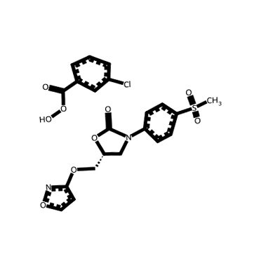 CS(=O)(=O)c1ccc(N2C[C@H](COc3ccon3)OC2=O)cc1.O=C(OO)c1cccc(Cl)c1